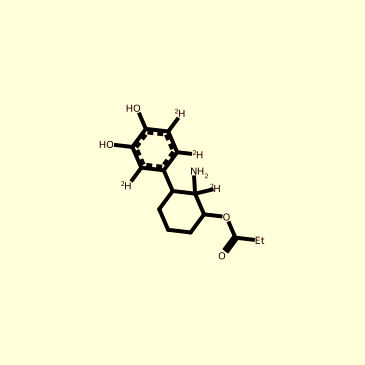 [2H]c1c([2H])c(C2CCCC(OC(=O)CC)C2([2H])N)c([2H])c(O)c1O